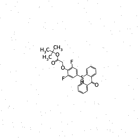 CC(C)(C)OC(=O)COc1c(F)cc([SH]2c3ccccc3C(=O)c3ccccc32)cc1F